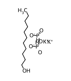 CCCCCCCCCCCO.O=[PH]([O-])O[PH](=O)[O-].[K+].[K+]